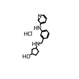 Cl.OC1CCC(NCc2cccc(Nc3cccnc3)c2)C1